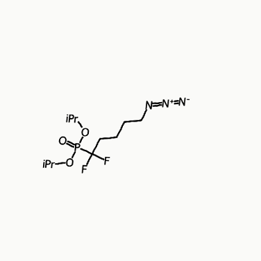 CC(C)OP(=O)(OC(C)C)C(F)(F)CCCCN=[N+]=[N-]